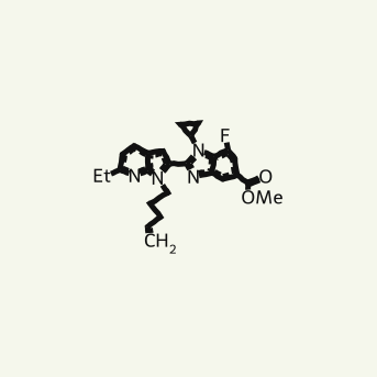 C=CCCCn1c(-c2nc3cc(C(=O)OC)cc(F)c3n2C2CC2)cc2ccc(CC)nc21